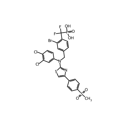 CS(=O)(=O)c1ccc(-c2csc(N(Cc3ccc(C(F)(F)P(=O)(O)O)c(Br)c3)c3ccc(Cl)c(Cl)c3)n2)cc1